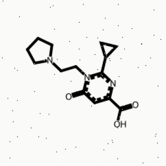 O=C(O)c1cc(=O)n(CCN2CCCC2)c(C2CC2)n1